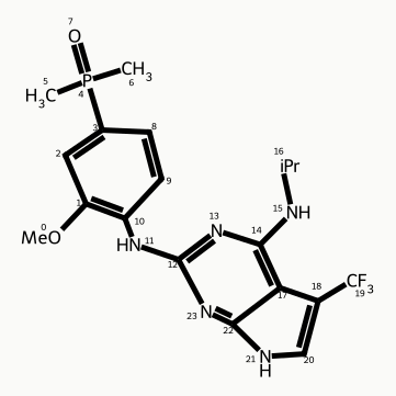 COc1cc(P(C)(C)=O)ccc1Nc1nc(NC(C)C)c2c(C(F)(F)F)c[nH]c2n1